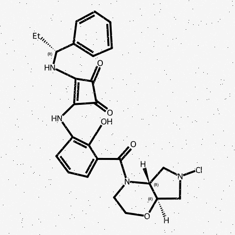 CC[C@@H](Nc1c(Nc2cccc(C(=O)N3CCO[C@@H]4CN(Cl)C[C@H]43)c2O)c(=O)c1=O)c1ccccc1